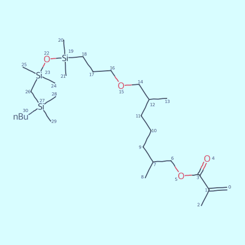 C=C(C)C(=O)OCC(C)CCCC(C)COCCC[Si](C)(C)O[Si](C)(C)C[Si](C)(C)CCCC